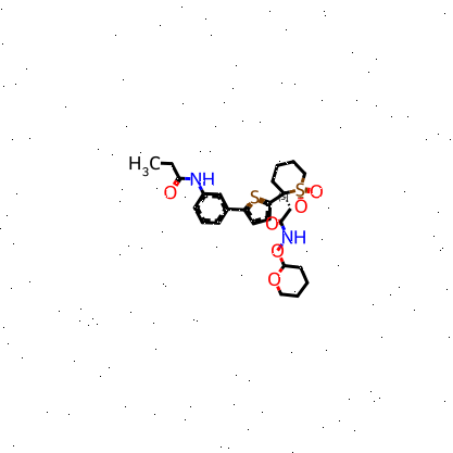 CCC(=O)Nc1cccc(-c2ccc([C@@]3(CC(=O)NOC4CCCCO4)CCCCS3(=O)=O)s2)c1